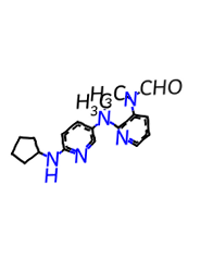 CN(C=O)c1cccnc1N(C)c1ccc(NC2CCCC2)nc1